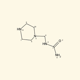 NC(=O)NCN1CCNCC1